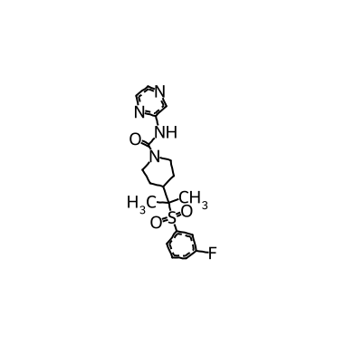 CC(C)(C1CCN(C(=O)Nc2cnccn2)CC1)S(=O)(=O)c1cccc(F)c1